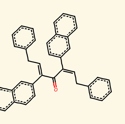 O=C(C(=CCc1ccccc1)c1ccc2ccccc2c1)C(=CCc1ccccc1)c1ccc2ccccc2c1